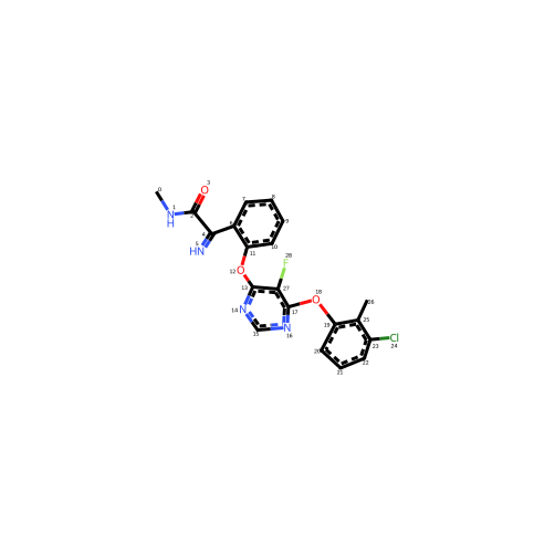 CNC(=O)C(=N)c1ccccc1Oc1ncnc(Oc2cccc(Cl)c2C)c1F